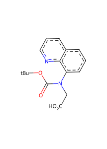 CC(C)(C)OC(=O)N(CC(=O)O)c1cccc2cccnc12